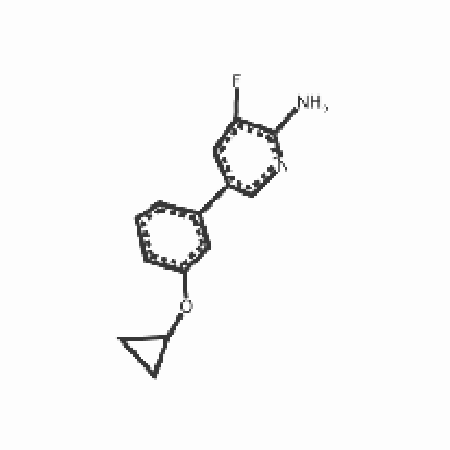 Nc1ncc(-c2cccc(OC3CC3)c2)cc1F